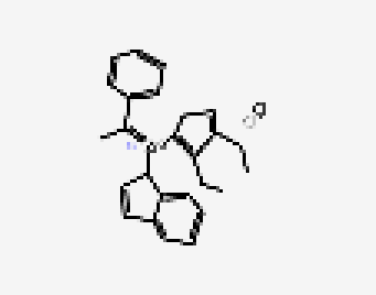 CCC1=CC[C](/[Zr+2](=[C](/C)c2ccccc2)[CH]2C=Cc3ccccc32)=C1CC.[Cl-].[Cl-]